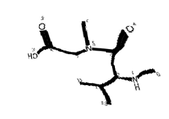 CN[C@H](C(=O)N(C)CC(=O)O)C(C)C